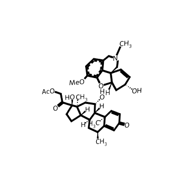 CC(=O)OCC(=O)[C@@]1(O)CC[C@H]2[C@@H]3C[C@H](C)C4=CC(=O)C=C[C@]4(C)[C@H]3[C@@H](O)C[C@@]21C.COc1ccc2c3c1O[C@H]1C[C@@H](O)C=C[C@@]31CCN(C)C2